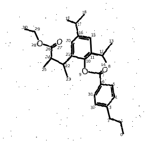 CCCc1ccc(C(=O)Oc2c(C(C)C)cc(C(C)C)cc2C(C)C(C)C(=O)OCC)cc1